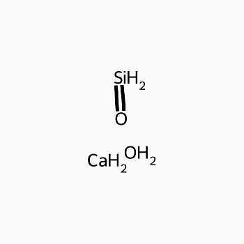 O.O=[SiH2].[CaH2]